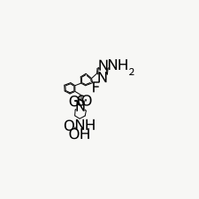 Nc1cnc(-c2ccc(-c3ccccc3CS(=O)(=O)N3CCC(NC(=O)O)CC3)cc2F)cn1